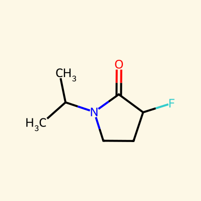 CC(C)N1CCC(F)C1=O